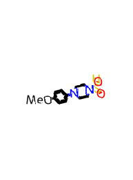 COc1ccc(N2CCN([SH](=O)=O)CC2)cc1